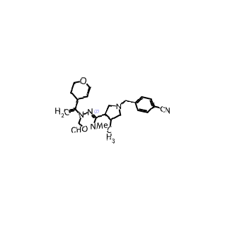 C=C(C1CCOCC1)N(CC=O)/N=C(\NC)C1CN(Cc2ccc(C#N)cc2)CC1C